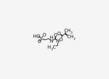 C=C(C)C(=O)ON(CC)C(=O)NCCS(=O)(=O)O